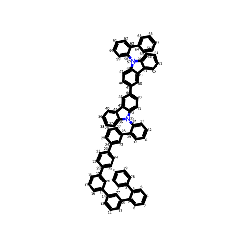 c1ccc(-c2ccccc2-c2cccc(-c3cccc(-c4ccc(-c5cccc(-c6ccccc6-n6c7ccccc7c7cc(-c8ccc9c(c8)c8ccccc8n9-c8ccccc8-c8ccccc8)ccc76)c5)cc4)c3)c2)cc1